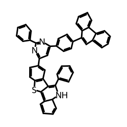 C1=CC2=c3sc4ccc(-c5cc(-c6ccc(-c7cc8ccccc8c8ccccc78)cc6)nc(-c6ccccc6)n5)cc4c3=C(c3ccccc3)NC2C=C1